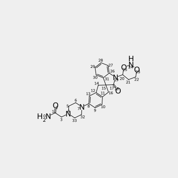 NC(=O)CN1CCN(c2ccc3c(c2)CC2(C3)C(=O)N(C3CCONO3)c3ccccc32)CC1